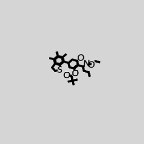 CCCC(=NOCC)C1=C(OC(=O)C(C)(C)C)CC(c2c(C)c(C)c(C)c3c2SCC3)CC1=O